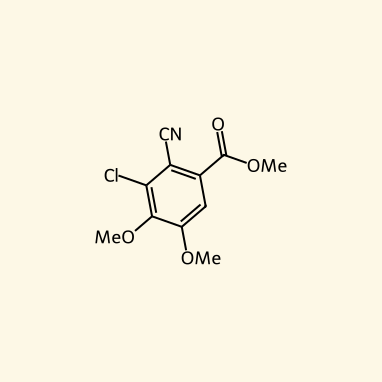 COC(=O)c1cc(OC)c(OC)c(Cl)c1C#N